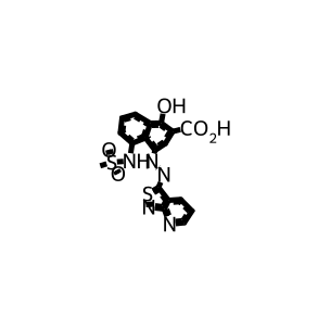 CS(=O)(=O)Nc1cccc2c(O)c(C(=O)O)cc(/N=N/c3snc4ncccc34)c12